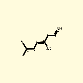 CC/C(=C\CC(C)I)CC=N